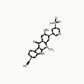 C#Cc1ccc2c(c1)[nH]c1c2c(=O)c2cc(CCCC)c(-c3cncc(S(=O)(=O)F)c3)cc2n1C